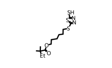 CCC(C)(C)C(=O)OCCCCCCSc1nnc(S)s1